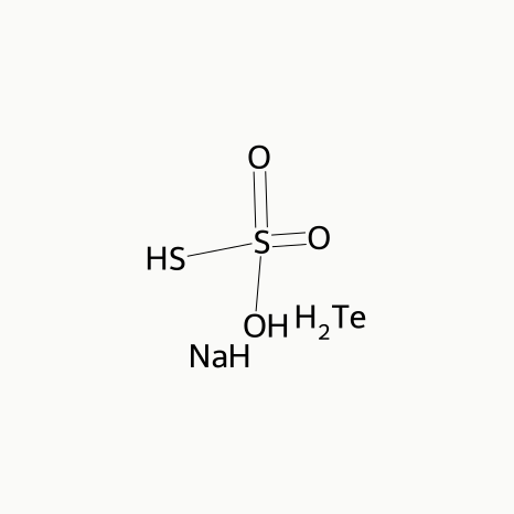 O=S(=O)(O)S.[NaH].[TeH2]